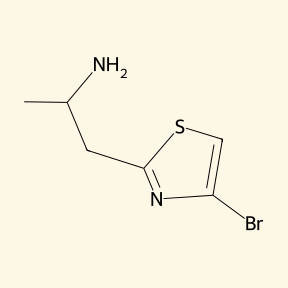 CC(N)Cc1nc(Br)cs1